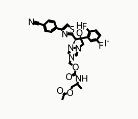 CC(=O)OCC(C)NC(=O)OC[n+]1cnn(C[C@](O)(c2cc(F)ccc2F)[C@@H](C)c2nc(-c3ccc(C#N)cc3)cs2)c1.[I-]